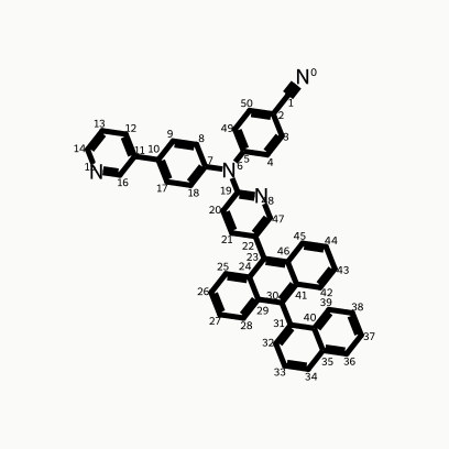 N#Cc1ccc(N(c2ccc(-c3cccnc3)cc2)c2ccc(-c3c4ccccc4c(-c4cccc5ccccc45)c4ccccc34)cn2)cc1